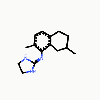 Cc1ccc2c(c1N=C1NCCN1)CC(C)CC2